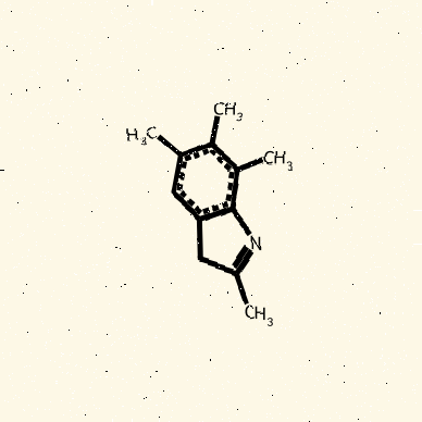 CC1=Nc2c(cc(C)c(C)c2C)C1